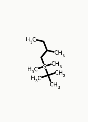 CCC(C)CS(C)(C)C(C)(C)C